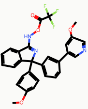 COc1ccc(C2(c3cccc(-c4cncc(OC)c4)c3)N=C(NOC(=O)C(F)(F)F)c3ccccc32)cc1